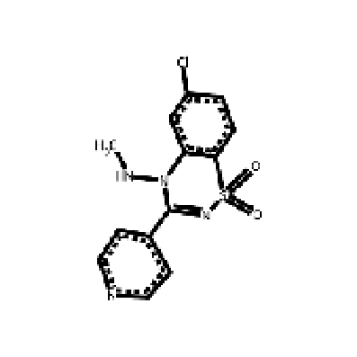 CNN1C(c2ccncc2)=NS(=O)(=O)c2ccc(Cl)cc21